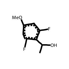 COc1cc(F)c(C(C)O)c(F)c1